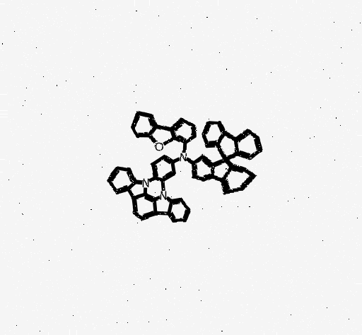 c1ccc2c(c1)-c1ccccc1C21c2ccccc2-c2ccc(N(c3ccc4c(c3)n3c5ccccc5c5ccc6c7ccccc7n4c6c53)c3cccc4c3oc3ccccc34)cc21